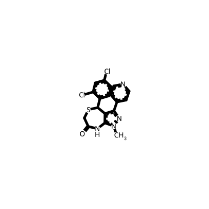 Cn1nc(-c2ccncc2)c2c1NC(=O)CSC2c1ccc(Cl)cc1Cl